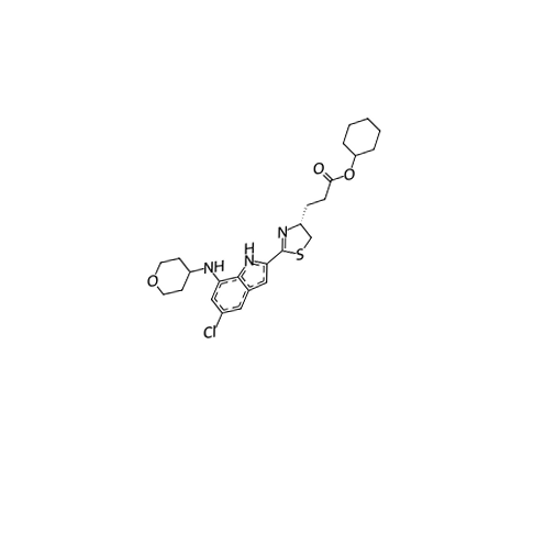 O=C(CC[C@@H]1CSC(c2cc3cc(Cl)cc(NC4CCOCC4)c3[nH]2)=N1)OC1CCCCC1